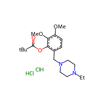 CCN1CCN(Cc2ccc(OC)c(OC)c2OC(=O)C(C)(C)C)CC1.Cl.Cl